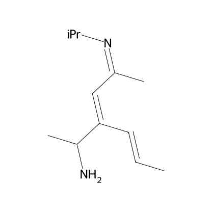 C/C=C/C(=C\C(C)=N/C(C)C)C(C)N